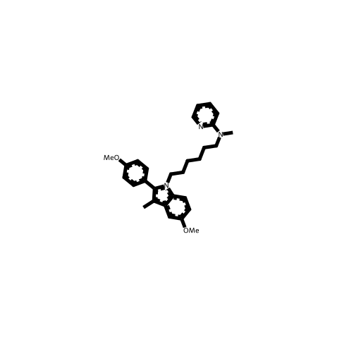 COc1ccc(-c2c(C)c3cc(OC)ccc3n2CCCCCCN(C)c2ccccn2)cc1